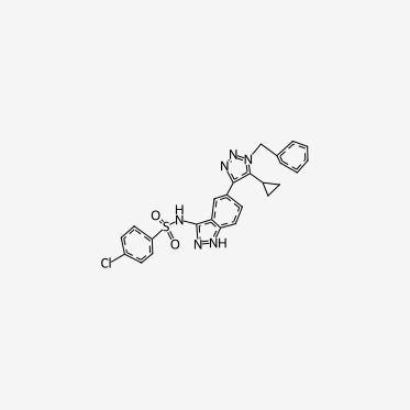 O=S(=O)(Nc1n[nH]c2ccc(-c3nnn(Cc4ccccc4)c3C3CC3)cc12)c1ccc(Cl)cc1